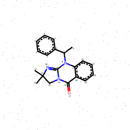 CC(c1ccccc1)N1C2=NC(C)(C)CN2C(=O)c2ccccc21